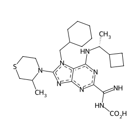 CC1CSCCN1c1nc2nc(C(=N)NC(=O)O)nc(N[C@H](C)C3CCC3)c2n1CC1CCCCC1